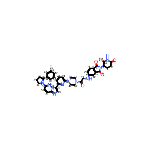 O=C1CCC(N2C(=O)c3ccc(NCC(=O)N4CCN(c5cccc(-c6cnc7ccc(N8CCC[C@@H]8c8cccc(F)c8)nn67)n5)CC4)cc3C2=O)C(=O)N1